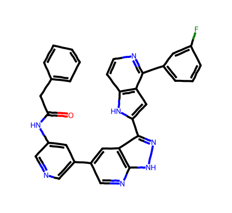 O=C(Cc1ccccc1)Nc1cncc(-c2cnc3[nH]nc(-c4cc5c(-c6cccc(F)c6)nccc5[nH]4)c3c2)c1